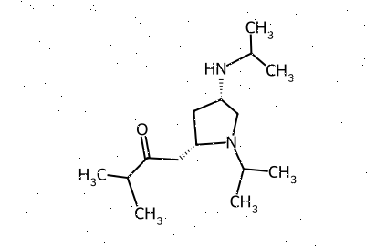 CC(C)N[C@H]1C[C@@H](CC(=O)C(C)C)N(C(C)C)C1